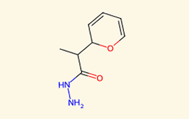 CC(C(=O)NN)C1C=CC=CO1